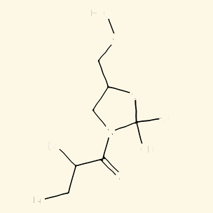 COCC1CN(C(=O)C(Br)CBr)C(C)(C)O1